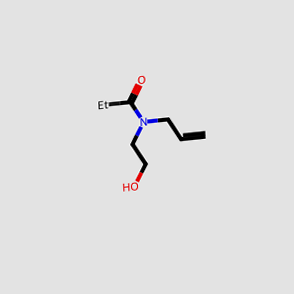 C=CCN(CCO)C(=O)CC